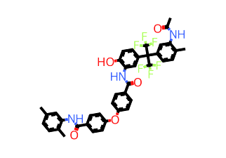 CC(=O)Nc1cc(C(c2ccc(O)c(NC(=O)c3ccc(Oc4ccc(C(=O)Nc5cc(C)ccc5C)cc4)cc3)c2)(C(F)(F)F)C(F)(F)F)ccc1C